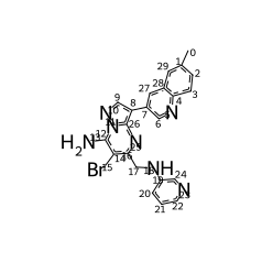 Cc1ccc2ncc(-c3cnn4c(N)c(Br)c(CNc5cccnc5)nc34)cc2c1